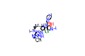 CN1CCN(CC(=O)N[C@@]2(c3cc(C#N)cc(Nc4nc(NC5CC5)c5ncc(C#N)n5n4)c3Cl)CCNC[C@H]2O)CC1